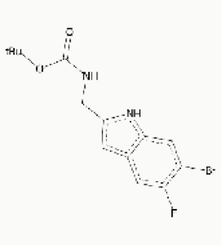 CC(C)(C)OC(=O)NCc1cc2cc(F)c(Br)cc2[nH]1